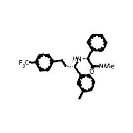 CNC(=O)[C@H](N[C@@H](CCc1ccc(C(F)(F)F)cc1)c1cccc(C)c1)c1ccccc1